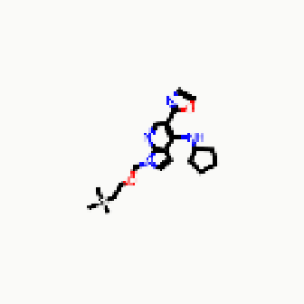 C[Si](C)(C)CCOCn1ccc2c(NC3CCCC3)c(-c3ncco3)cnc21